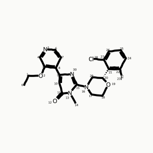 CCOc1cnccc1-c1cc(=O)n(C)c(N2CCO[C@@H](c3c(F)cccc3Cl)C2)n1